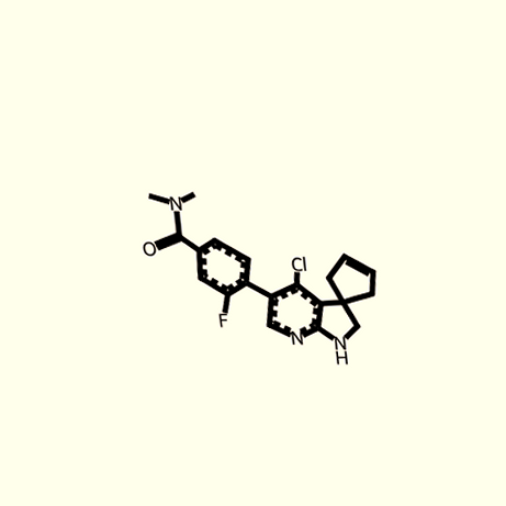 CN(C)C(=O)c1ccc(-c2cnc3c(c2Cl)C2(CC=CC2)CN3)c(F)c1